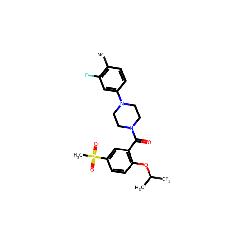 CC(Oc1ccc(S(C)(=O)=O)cc1C(=O)N1CCN(c2ccc(C#N)c(F)c2)CC1)C(F)(F)F